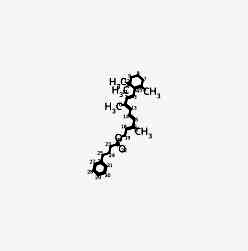 CC(C=CC1=C(C)CCCC1(C)C)=CC=CC(C)=CCOC(=O)CCCc1ccccc1